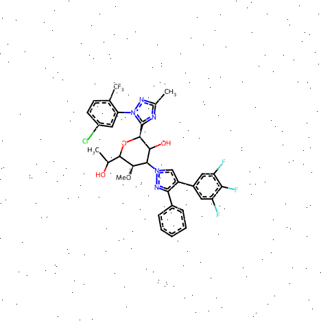 CO[C@H]1C(C(C)O)O[C@@H](c2nc(C)nn2-c2cc(Cl)ccc2C(F)(F)F)C(O)C1n1cc(-c2cc(F)c(F)c(F)c2)c(-c2ccccc2)n1